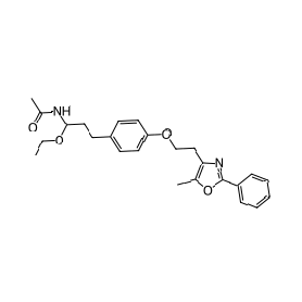 CCOC(CCc1ccc(OCCc2nc(-c3ccccc3)oc2C)cc1)NC(C)=O